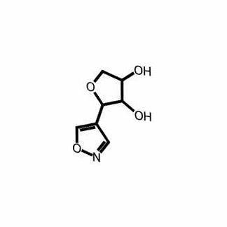 OC1COC(c2cnoc2)C1O